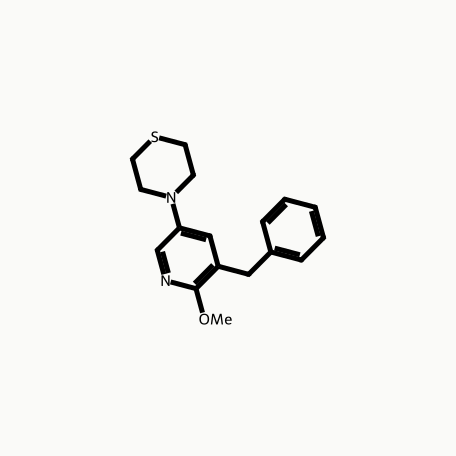 COc1ncc(N2CCSCC2)cc1Cc1ccccc1